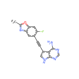 Nc1ncnc2[nH]cc(C#Cc3cc4nc(C(F)(F)F)oc4cc3F)c12